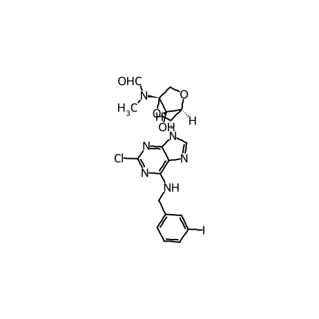 CN(C=O)[C@]12CO[C@@H]([C@H](n3cnc4c(NCc5cccc(I)c5)nc(Cl)nc43)O1)[C@@H]2O